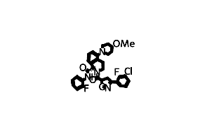 COC1CCN(c2cccc3c2CCN(C(=O)C2CC(c4cccc(Cl)c4F)=NO2)[C@H]3C(=O)Nc2ccccc2F)CC1